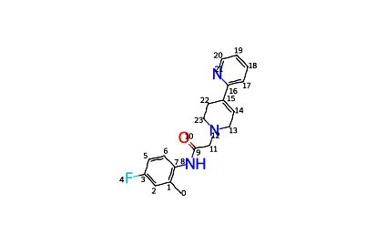 Cc1cc(F)ccc1NC(=O)CN1CC=C(c2ccccn2)CC1